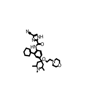 CC1CC(OCCN2CCOCC2)(c2ccc(NC(=O)c3nc(C#N)c[nH]3)c(C3=CCCCC3)c2)CC(C)N1C